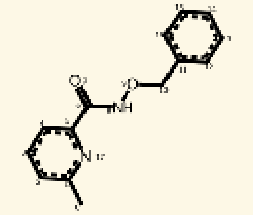 Cc1cccc(C(=O)NOCc2ccccc2)n1